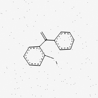 NSc1ccccc1C(=O)c1ccccc1